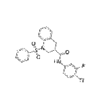 O=C(Nc1ccc(Cl)c(F)c1)C1Cc2ccccc2N(S(=O)(=O)c2ccccc2)C1